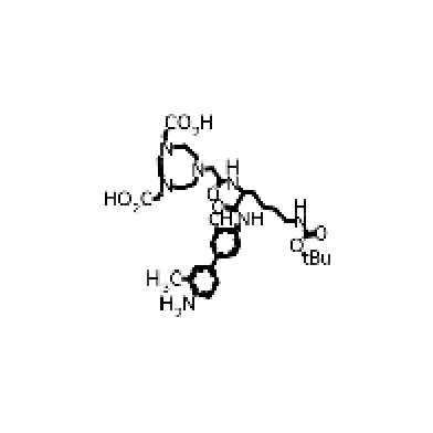 Cc1cc(-c2ccc(NC(=O)C(CCCCNC(=O)OC(C)(C)C)NC(=O)CN3CCN(CC(=O)O)CCN(CC(=O)O)CC3)c(C)c2)ccc1N